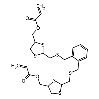 C=CC(=O)OCC1CSC(CSCc2ccccc2CSCC2SCC(COC(=O)C=C)S2)S1